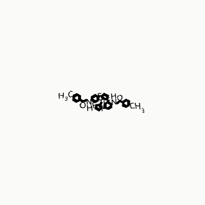 Cc1ccc(C(=O)CNc2ccc(F)[c]([Ti]([C]3=CC=CC3)([C]3=CC=CC3)[c]3c(F)ccc(NCC(=O)c4ccc(C)cc4)c3F)c2F)cc1